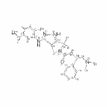 CCOc1ncc(F)c(Nc2n[nH]c3c2CN(C(=O)OC(CN(C)C)c2ccccc2)C3(C)C)n1